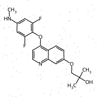 CNc1cc(F)c(Oc2ccnc3cc(OCC(C)(C)O)ccc23)c(F)c1